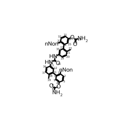 CCCCCCCCCc1ccc(OC(N)=O)cc1-c1cc(NC(=O)Nc2ccc(C)c(-c3cc(OC(N)=O)ccc3CCCCCCCCC)c2)ccc1C